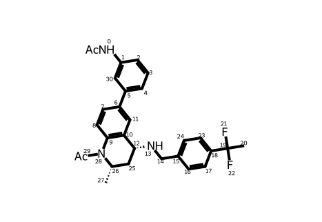 CC(=O)Nc1cccc(-c2ccc3c(c2)[C@H](NCc2ccc(C(C)(F)F)cc2)C[C@H](C)N3C(C)=O)c1